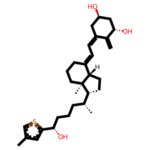 C=C1/C(=C\C=C2/CCC[C@]3(C)[C@@H]([C@H](C)CCC[C@H](O)c4cc(C)cs4)CC[C@@H]23)C[C@@H](O)C[C@@H]1O